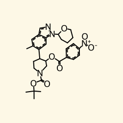 Cc1cc2cnn(C3CCCCO3)c2cc1C1CCN(C(=O)OC(C)(C)C)CC1OC(=O)c1ccc([N+](=O)[O-])cc1